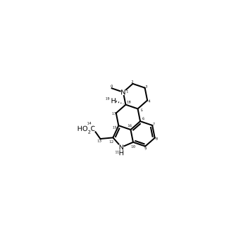 CN1CCCC2c3cccc4[nH]c(CC(=O)O)c(c34)C[C@H]21